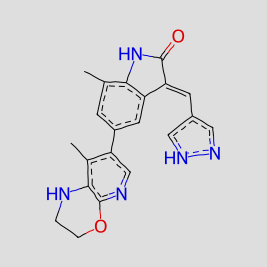 Cc1cc(-c2cnc3c(c2C)NCCO3)cc2c1NC(=O)C2=Cc1cn[nH]c1